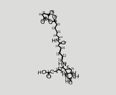 O=C(O)CCCC[C@]1(C(=O)NCCCCCC(=O)NCCCCCC(=O)ON2C(=O)CCC2=O)SC[C@@H]2NC(=O)N[C@@H]21